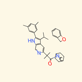 Cc1cc(C)cc(-c2[nH]c3cnc(C(C)(C)C(=O)N4CC5CCC4CC5)cc3c2C(C)C)c1.c1ccc2c(c1)CO2